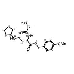 COc1ccc(COC(=O)[C@H](CCNC2CCCC2)NC(=O)OC(C)(C)C)cc1